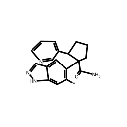 NC(=O)C1(c2cc3cn[nH]c3cc2F)CCCC1c1cccnc1